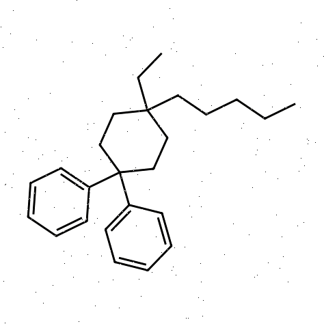 CCCCCC1(CC)CCC(c2ccccc2)(c2ccccc2)CC1